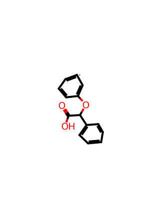 O=C(O)C(Oc1c[c]ccc1)c1ccccc1